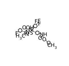 COCCOCC(=O)Nc1ccc(-c2sc(-n3nc(C)c(-c4cccc(F)c4)c3C(=O)O)nc2-c2ccc(C(F)(F)F)cc2)cc1